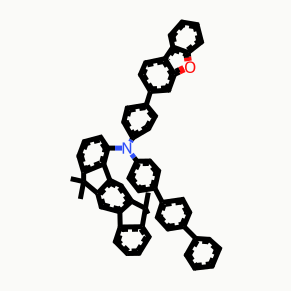 CC1(C)c2ccccc2-c2cc3c(cc21)-c1c(N(c2ccc(-c4ccc(-c5ccccc5)cc4)cc2)c2ccc(-c4ccc5c(c4)oc4ccccc45)cc2)cccc1C3(C)C